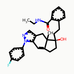 CCNC(=O)c1ccccc1CC[C@]1(O)CCC2=Cc3c(cnn3-c3ccc(F)cc3)CC21C